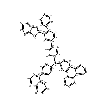 c1ccc(-c2ccccc2-c2ccc(N(c3ccc(-c4ccc(-c5ccccc5)c(-c5cc6ccccc6o5)c4)cc3)c3ccc(-c4cccc5ccccc45)cc3)cc2)cc1